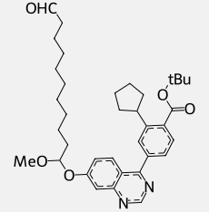 COC(CCCCCCCCCC=O)Oc1ccc2c(-c3ccc(C(=O)OC(C)(C)C)c(C4CCCC4)c3)ncnc2c1